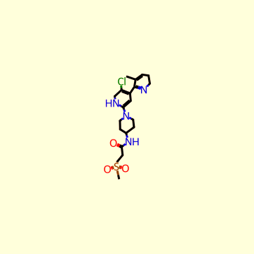 CC1=CCCN=C1C1=C(Cl)CNC(N2CCC(NC(=O)CCS(C)(=O)=O)CC2)=C1